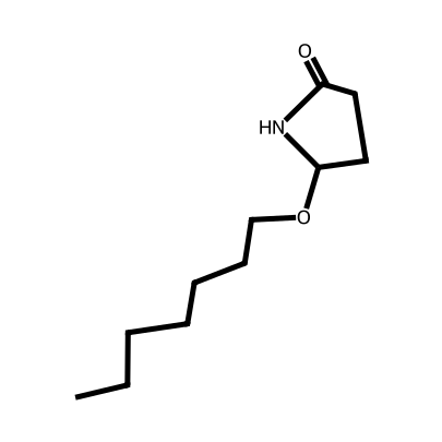 CCCCCCCOC1CCC(=O)N1